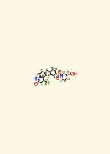 O=c1cc(C(F)(F)F)c2cc(Cc3ccc(S(=O)(=O)N4CCCC(CO)C4)cc3)ccc2[nH]1